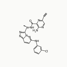 C#Cc1cnc(N)c(C(=O)N[C@H](C)c2nnc3ccc(Nc4cccc(Cl)c4)nn23)n1